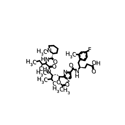 CC[C@H](C)C(NC(=O)[C@H]1CCCCN1C)C(=O)N(C)[C@H](C[C@@H](OC(C)=O)c1nc(C(=O)N[C@H](CCC(=O)O)Cc2ccc(F)cc2C)cs1)C(C)C